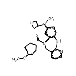 CO[C@H]1CC[C@H](C(=O)N2Cc3cccnc3Nc3ccc(N(C)C4COC4)cc32)CC1